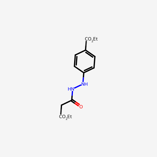 CCOC(=O)CC(=O)NNc1ccc(C(=O)OCC)cc1